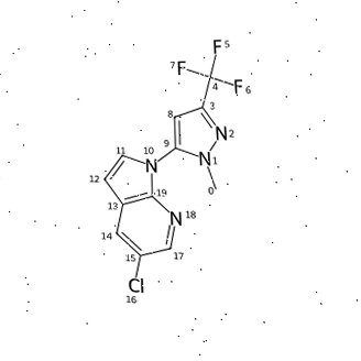 Cn1nc(C(F)(F)F)[c]c1-n1ccc2cc(Cl)cnc21